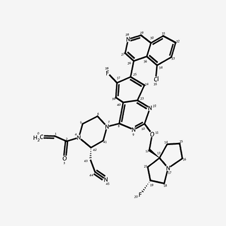 C=CC(=O)N1CCN(c2nc(OC[C@@]34CCCN3C[C@H](F)C4)nc3cc(-c4cncc5cccc(Cl)c45)c(F)cc23)C[C@@H]1CC#N